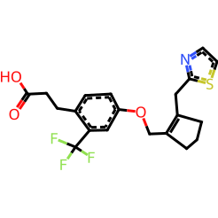 O=C(O)CCc1ccc(OCC2=C(Cc3nccs3)CCC2)cc1C(F)(F)F